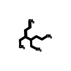 C=CC=C(CC)C(CC)CCC